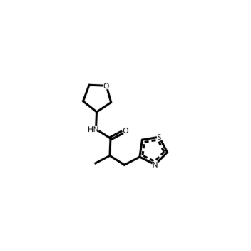 CC(Cc1cscn1)C(=O)NC1CCOC1